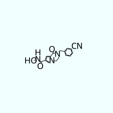 N#Cc1cccc(CN2CCn3cc(C(=O)NO)cc3C2=O)c1